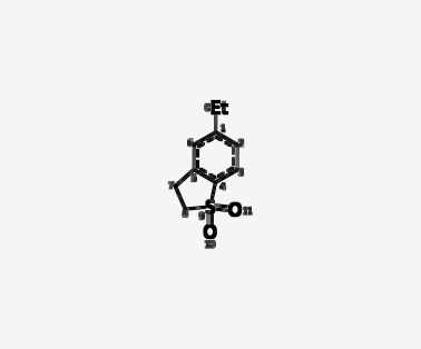 CCc1ccc2c(c1)CCS2(=O)=O